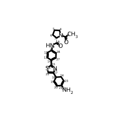 CC(=O)N1CCC[C@H]1C(=O)Nc1ccc(-c2nc(C3C=CC(N)=CC3)cs2)cc1